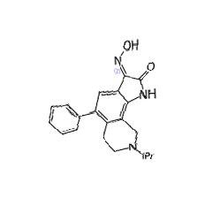 CC(C)N1CCc2c(-c3ccccc3)cc3c(c2C1)NC(=O)/C3=N\O